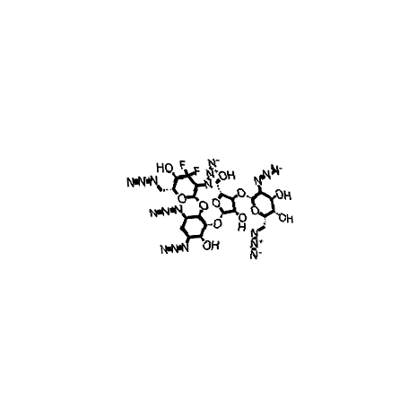 [N-]=[N+]=NC[C@@H]1O[C@H](O[C@H]2[C@@H](O)[C@H](O[C@H]3[C@H](O[C@H]4O[C@H](CN=[N+]=[N-])[C@@H](O)C(F)(F)C4N=[N+]=[N-])C(N=[N+]=[N-])CC(N=[N+]=[N-])[C@@H]3O)O[C@@H]2CO)C(N=[N+]=[N-])[C@@H](O)[C@@H]1O